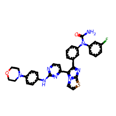 NC(=O)N(c1cccc(F)c1)c1cccc(-c2nc3sccn3c2-c2ccnc(Nc3ccc(N4CCOCC4)cc3)n2)c1